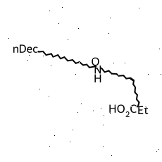 CCCCCCCCCCCCCCCCCCCCCCCCCC(=O)NCCCCCCCC/C=C\CCCCCCC(CC)C(=O)O